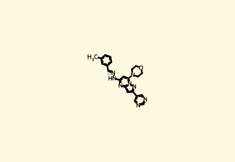 Cc1cccc(/C=N/Nc2cc(N3CCOCC3)n3nc(-c4cncnc4)cc3n2)c1